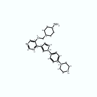 N[C@H]1CC[C@@H](COc2cncnc2-c2cnn(-c3ccc(N4CCOCC4)cc3)c2)CC1